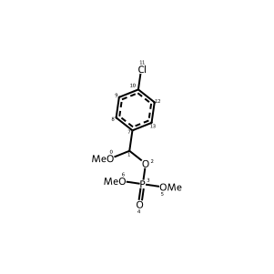 COC(OP(=O)(OC)OC)c1ccc(Cl)cc1